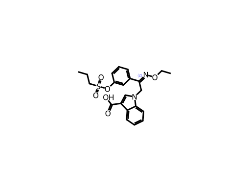 CCCS(=O)(=O)Oc1cccc(/C(Cn2cc(C(=O)O)c3ccccc32)=N/OCC)c1